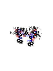 B=C(N[C@H](C(=O)N1C[C@@H](NC(=O)c2cccc(C(=O)N[C@H]3C[C@@H](C(=O)N[C@@H]4CCCc5ccccc54)N(C(=O)[C@@H](NC(=O)[C@H](C)N(C)C(=O)OC(C)(C)C)C(C)(C)C)C3)c2)C[C@H]1C(=O)N[C@@H]1CCCc2ccccc21)C(C)(C)C)[C@H](C)N(C)C(=O)OC(C)(C)C